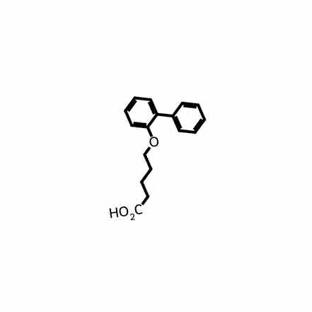 O=C(O)CCCCOc1ccccc1-c1ccccc1